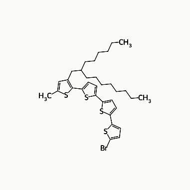 CCCCCCCCC(CCCCCC)Cc1cc(C)sc1-c1ccc(-c2ccc(-c3ccc(Br)s3)s2)s1